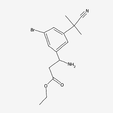 CCOC(=O)CC(N)c1cc(Br)cc(C(C)(C)C#N)c1